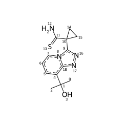 CC(C)(O)c1cccn2c(C3(C(N)=S)CC3)nnc12